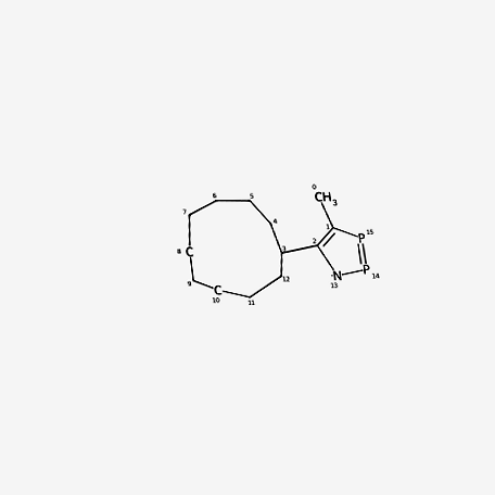 CC1=C(C2CCCCCCCCC2)[N]P=P1